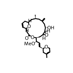 C=C1C[C@H](C)C[C@@H]2CC=C[C@@H](CC(=O)O[C@H]([C@H](/C=C/[C@@H]3CC(C)=CCO3)OC)C[C@@H]3O[C@H]3[C@@H](O)C1)O2